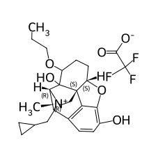 CCCOC1CC[C@@H]2Oc3c(O)ccc4c3[C@@]23CC[N@+](C)(CC2CC2)[C@H](C4)C13O.O=C([O-])C(F)(F)F